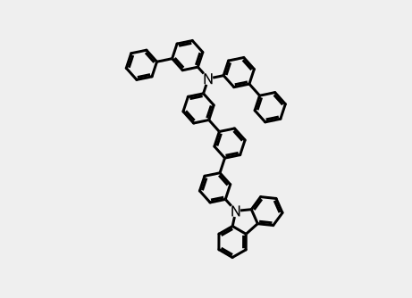 c1ccc(-c2cccc(N(c3cccc(-c4ccccc4)c3)c3cccc(-c4cccc(-c5cccc(-n6c7ccccc7c7ccccc76)c5)c4)c3)c2)cc1